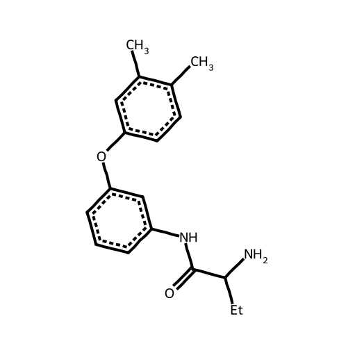 CCC(N)C(=O)Nc1cccc(Oc2ccc(C)c(C)c2)c1